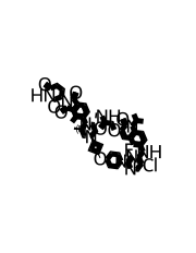 CNC(=O)COc1cc2c(F)c(Nc3nc(N4CCC(O[C@H]5C[C@H](N6CCN(c7ccc8c(c7C)C(=O)N(C7CCC(=O)NC7=O)C8=O)[C@H](C)C6)C5)CC4)ncc3Cl)ccc2n(C(C)C)c1=O